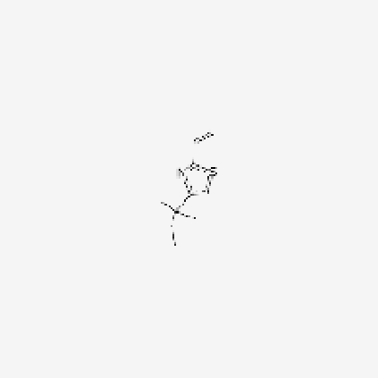 C=Cc1nc(C(C)(C)CC)cs1